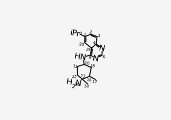 CC(C)c1ccc2ncnc(NC3CCC(C)(N)C(C)C3)c2c1